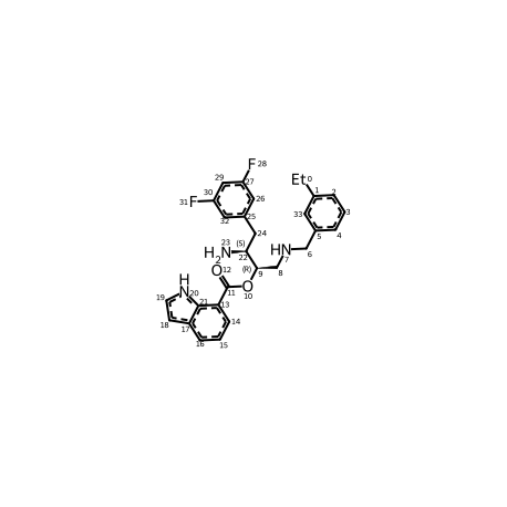 CCc1cccc(CNC[C@@H](OC(=O)c2cccc3cc[nH]c23)[C@@H](N)Cc2cc(F)cc(F)c2)c1